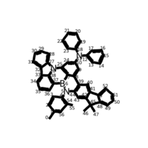 Cc1ccc(N2B3c4c(cc(N(c5ccccc5)c5ccccc5)cc4-n4c5ccccc5c5cccc3c54)-c3cc4c(cc32)C(C)(C)c2ccccc2-4)c(C)c1